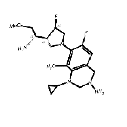 COC[C@@H](N)[C@H]1CN(c2c(F)cc3c(c2C)N(C2CC2)CN(N)C3)C[C@@H]1F